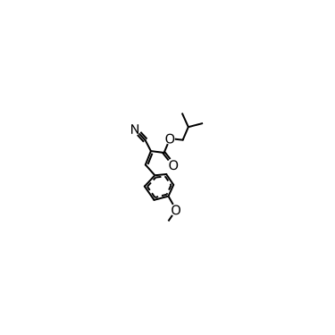 COc1ccc(C=C(C#N)C(=O)OCC(C)C)cc1